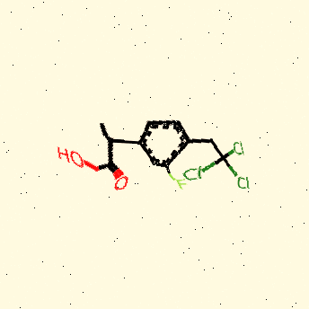 CC(C(=O)O)c1ccc(CC(Cl)(Cl)Cl)c(F)c1